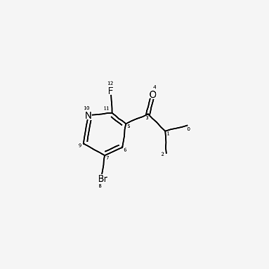 CC(C)C(=O)c1cc(Br)cnc1F